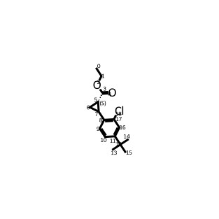 CCOC(=O)[C@H]1CC1c1ccc(C(C)(C)C)cc1Cl